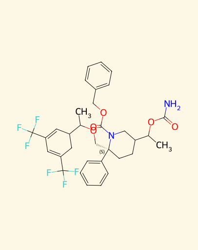 CC(OC[C@@]1(c2ccccc2)CCC(C(C)OC(N)=O)CN1C(=O)OCc1ccccc1)C1C=C(C(F)(F)F)C=C(C(F)(F)F)C1